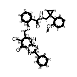 COc1ccccc1C1(CNC(=O)c2ccccc2OCc2[nH]c3nc(-c4ccccc4)nn3c(=O)c2Cl)CC1